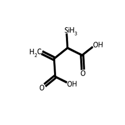 C=C(C(=O)O)C([SiH3])C(=O)O